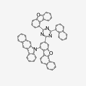 c1ccc2cc3c(cc2c1)c1ccccc1n3-c1cc(-c2nc(-c3cccc4ccccc34)nc(-c3cccc4oc5ccccc5c34)n2)cc2oc3c4ccccc4ccc3c12